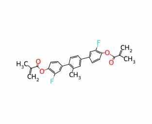 C=C(C)C(=O)Oc1ccc(-c2ccc(-c3ccc(OC(=O)C(=C)C)c(F)c3)c(C)c2)cc1F